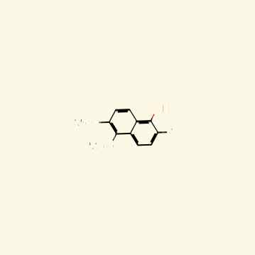 COc1ccc2c(O)c(C(C)=O)ccc2c1OC